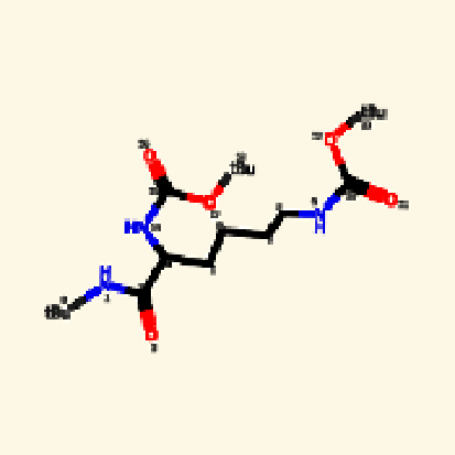 CC(C)(C)NC(=O)C(CCCCNC(=O)OC(C)(C)C)NC(=O)OC(C)(C)C